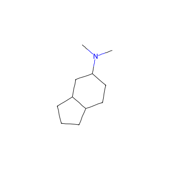 CN(C)C1CCC2CCCC2C1